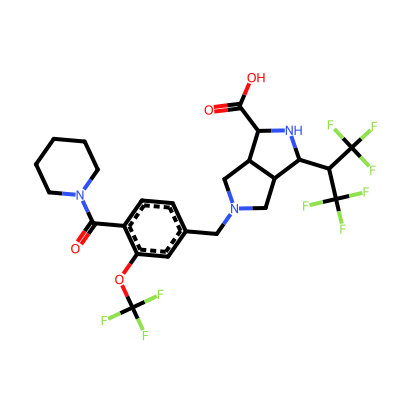 O=C(O)C1NC(C(C(F)(F)F)C(F)(F)F)C2CN(Cc3ccc(C(=O)N4CCCCC4)c(OC(F)(F)F)c3)CC12